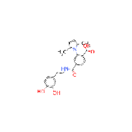 Cc1ccc(C)n1-c1cc(C(=O)NCCc2ccc(O)c(O)c2)ccc1C(=O)O